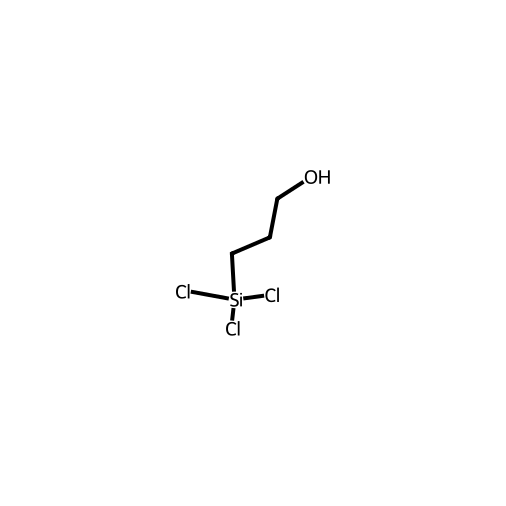 OCCC[Si](Cl)(Cl)Cl